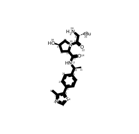 Cc1ncsc1-c1ccc([C@H](C)NC(=O)C2C[C@@H](O)CN2C(=O)[C@H](N)C(C)(C)C)cc1